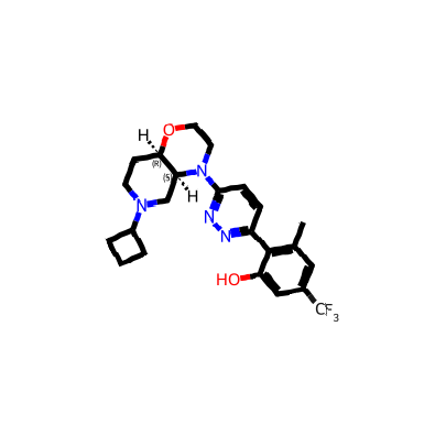 Cc1cc(C(F)(F)F)cc(O)c1-c1ccc(N2CCO[C@@H]3CCN(C4CCC4)C[C@@H]32)nn1